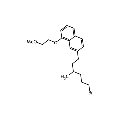 COCCOc1cccc2ccc(CCC(C)CCCBr)cc12